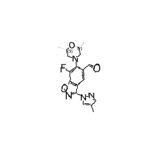 Cc1cnn(-c2noc3c(F)c(N4C[C@@H](C)O[C@@H](C)C4)c(C=O)cc23)c1